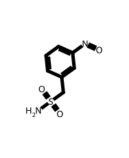 NS(=O)(=O)Cc1cccc(N=O)c1